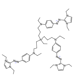 CCN(CCC[N+](CC)(CCCN(CC)c1ccc(/N=N/c2n(CC)cc[n+]2CC)cc1)CCCN(CC)c1ccc(/N=N/c2n(CC)cc[n+]2CC)cc1)c1ccc(/N=N/c2n(CC)cc[n+]2CC)cc1